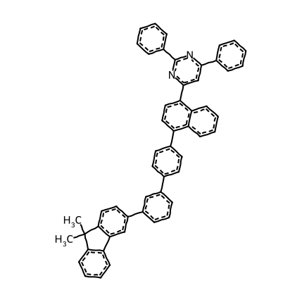 CC1(C)c2ccccc2-c2cc(-c3cccc(-c4ccc(-c5ccc(-c6cc(-c7ccccc7)nc(-c7ccccc7)n6)c6ccccc56)cc4)c3)ccc21